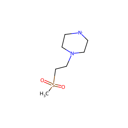 CS(=O)(=O)CCN1CC[N]CC1